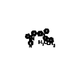 CC1(C)c2ccccc2-c2cc(N(c3ccccc3)c3ccc(-c4cccc(-c5nn(-c6ccncc6)c6ccccc56)c4)cc3)ccc21